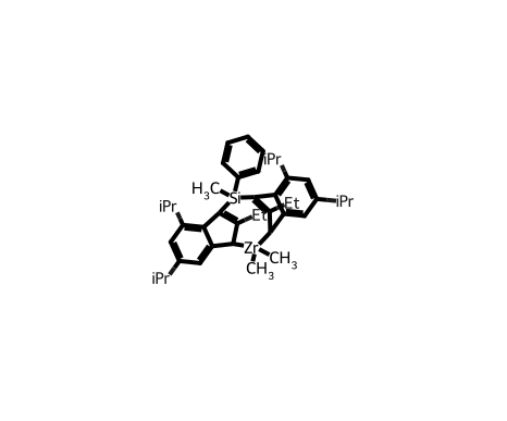 CCC1=C2c3c(C(C)C)cc(C(C)C)cc3[CH]1[Zr]([CH3])([CH3])[CH]1C(CC)=C(c3c(C(C)C)cc(C(C)C)cc31)[Si]2(C)c1ccccc1